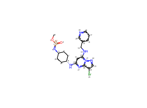 CO[SH](=O)=N[C@H]1CC[C@H](Nc2cc(NCc3cccnc3)n3ncc(Br)c3n2)CC1